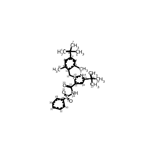 Cc1cc(C(C)(C)C)cc(C)c1Cn1nc(C(C)(C)C)cc1C(=O)NS(=O)(=O)c1ccccc1